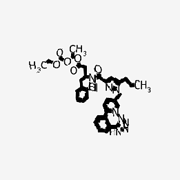 CCCc1cc(C(=O)NC(CC(=O)OC(C)OC(=O)OCC)Cc2ccccc2Cl)nn1Cc1ccc(-c2ccccc2-c2nnn[nH]2)nc1